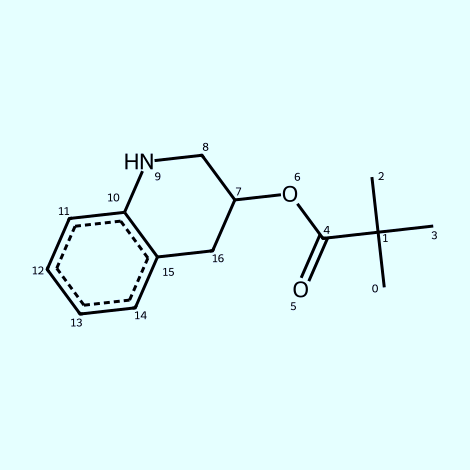 CC(C)(C)C(=O)OC1CNc2ccccc2C1